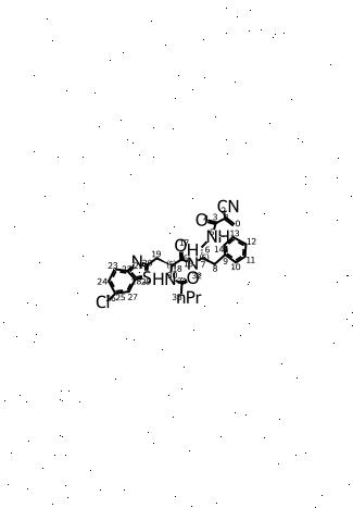 C=C(C#N)C(=O)NC[C@H](Cc1ccccc1)NC(=O)[C@H](Cc1nc2ccc(Cl)cc2s1)NC(=O)CCC